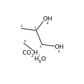 CC(=O)O.CC(O)CO.O